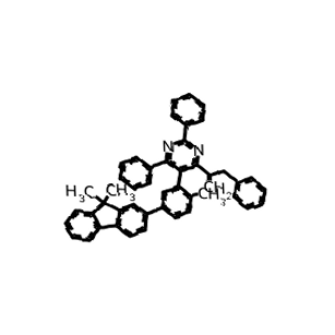 C=C(Cc1ccccc1)c1nc(-c2ccccc2)nc(-c2ccccc2)c1-c1cc(-c2ccc3c(c2)C(C)(C)c2ccccc2-3)ccc1C